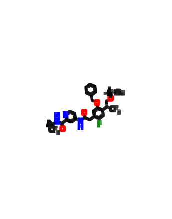 CC(C)(C)[Si](C)(C)OCC(c1cc(F)c(CC(=O)Nc2ccnc(C(=O)NC3(C(F)(F)F)CC3)c2)cc1OCc1ccccc1)C(F)(F)F